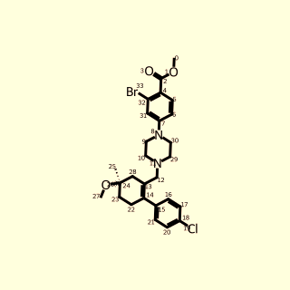 COC(=O)c1ccc(N2CCN(CC3=C(c4ccc(Cl)cc4)CC[C@@](C)(OC)C3)CC2)cc1Br